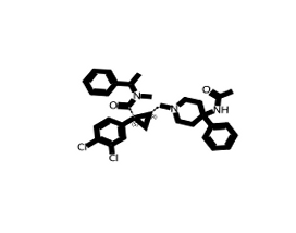 CC(=O)NC1(c2ccccc2)CCN(C[C@@H]2C[C@@]2(C(=O)N(C)C(C)c2ccccc2)c2ccc(Cl)c(Cl)c2)CC1